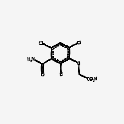 NC(=O)c1c(Cl)cc(Cl)c(OCC(=O)O)c1Cl